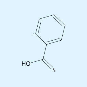 OC(=S)c1[c]cccc1